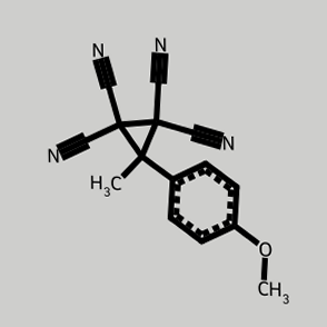 COc1ccc(C2(C)C(C#N)(C#N)C2(C#N)C#N)cc1